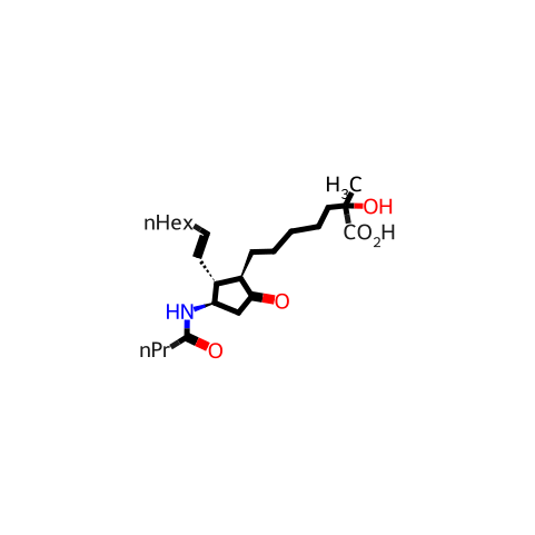 CCCCCCC=C[C@H]1[C@H](NC(=O)CCC)CC(=O)[C@@H]1CCCCCC(C)(O)C(=O)O